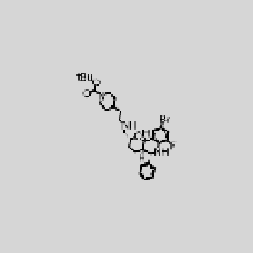 CC(C)(C)OC(=O)N1CCC(CCNC[C@H]2CC[C@@H]3[C@H](O2)c2cc(Br)cc(F)c2N[C@H]3c2ccccc2)CC1